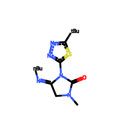 CCCCN=C1CN(C)C(=O)N1c1nnc(C(C)(C)C)s1